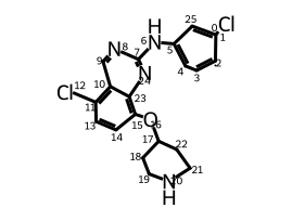 Clc1[c]ccc(Nc2ncc3c(Cl)ccc(OC4CCNCC4)c3n2)c1